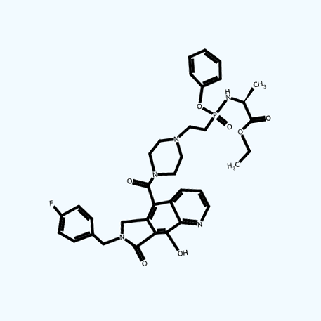 CCOC(=O)[C@H](C)NP(=O)(CCN1CCN(C(=O)c2c3c(c(O)c4ncccc24)C(=O)N(Cc2ccc(F)cc2)C3)CC1)Oc1ccccc1